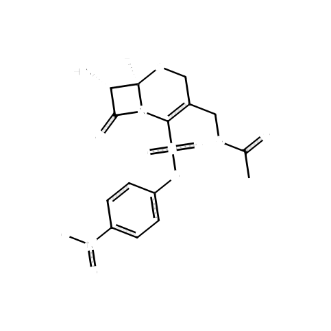 CC(=O)OCC1=C(S(=O)(=O)Oc2ccc([N+](=O)[O-])cc2)N2C(=O)[C@H](N)[C@H]2SC1